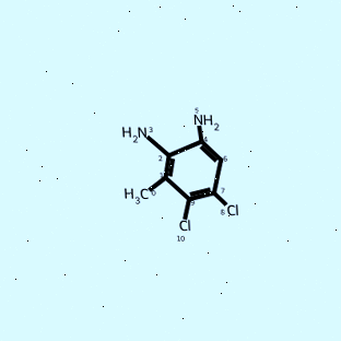 Cc1c(N)c(N)cc(Cl)c1Cl